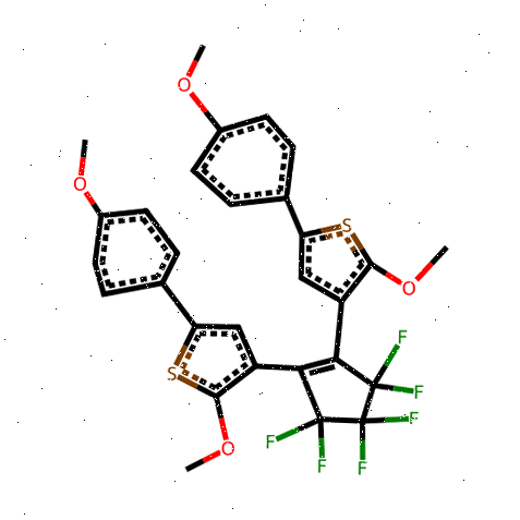 COc1ccc(-c2cc(C3=C(c4cc(-c5ccc(OC)cc5)sc4OC)C(F)(F)C(F)(F)C3(F)F)c(OC)s2)cc1